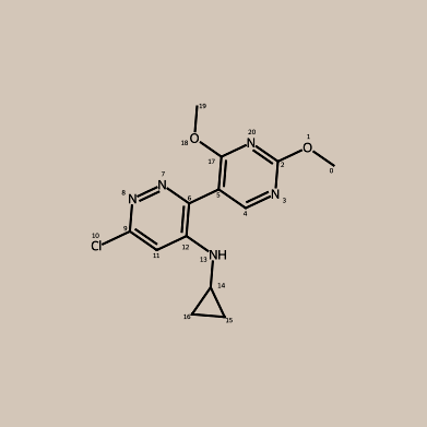 COc1ncc(-c2nnc(Cl)cc2NC2CC2)c(OC)n1